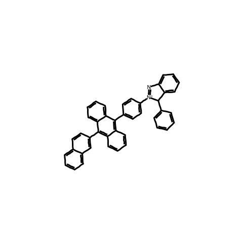 c1ccc(C2c3ccccc3N=[N+]2c2ccc(-c3c4ccccc4c(-c4ccc5ccccc5c4)c4ccccc34)cc2)cc1